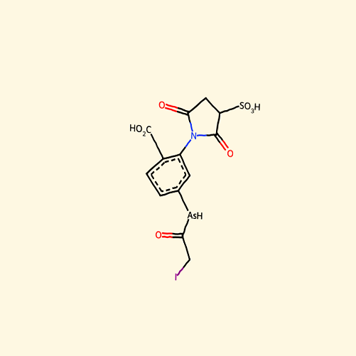 O=C(CI)[AsH]c1ccc(C(=O)O)c(N2C(=O)CC(S(=O)(=O)O)C2=O)c1